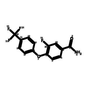 NC(=O)c1ccc(Oc2ccc(C(F)(F)F)cc2)c(F)c1